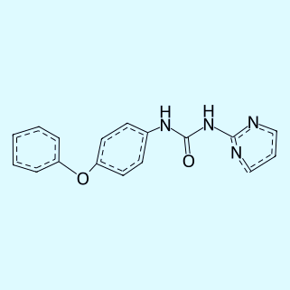 O=C(Nc1ccc(Oc2ccccc2)cc1)Nc1ncccn1